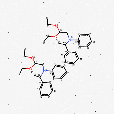 CCOC(CN(c1ccccc1)C(C)c1ccccc1)OCC.CCOC(CN(c1ccccc1)C(C)c1ccccc1)OCC